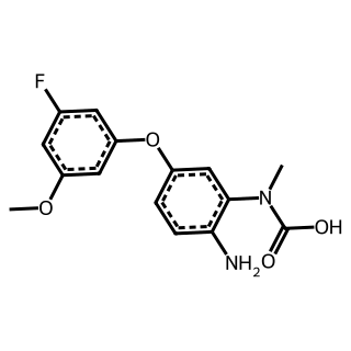 COc1cc(F)cc(Oc2ccc(N)c(N(C)C(=O)O)c2)c1